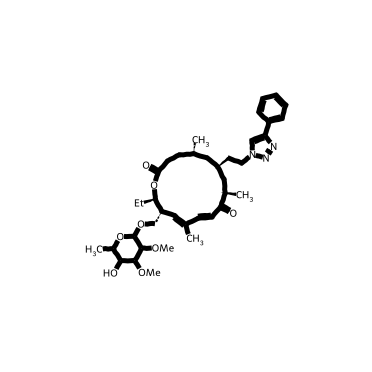 CC[C@H]1OC(=O)CC[C@H](C)C[C@@H](CCn2cc(-c3ccccc3)nn2)C[C@@H](C)C(=O)/C=C/C(C)=C/[C@@H]1COC1OC(C)C(O)C(OC)C1OC